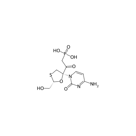 Nc1ccn([C@@]2(C(=O)CP(=O)(O)O)CS[C@@H](CO)O2)c(=O)n1